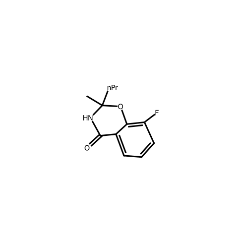 CCCC1(C)NC(=O)c2cccc(F)c2O1